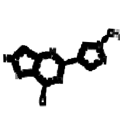 Cn1cc(-c2nc(Cl)c3n[nH]cc3n2)cn1